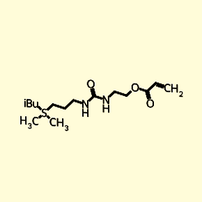 C=CC(=O)OCCNC(=O)NCCCS(C)(C)C(C)CC